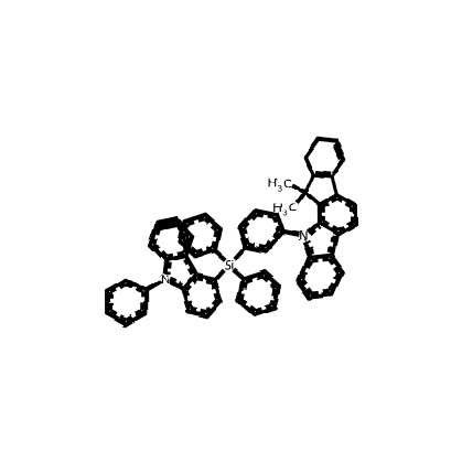 CC1(C)C2=C(C=CCC2)c2ccc3c4ccccc4n(-c4cccc([Si](c5ccccc5)(c5ccccc5)c5cccc6c5c5cc#ccc5n6-c5ccccc5)c4)c3c21